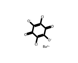 O=C1C([O-])=C(Cl)C(=O)C([O-])=C1Cl.[Ba+2]